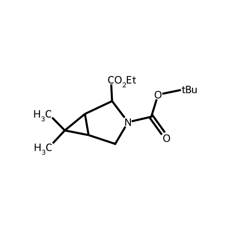 CCOC(=O)C1C2C(CN1C(=O)OC(C)(C)C)C2(C)C